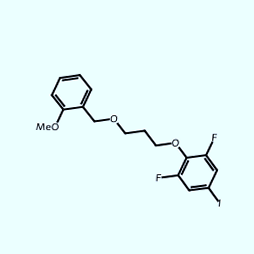 COc1ccccc1COCCCOc1c(F)cc(I)cc1F